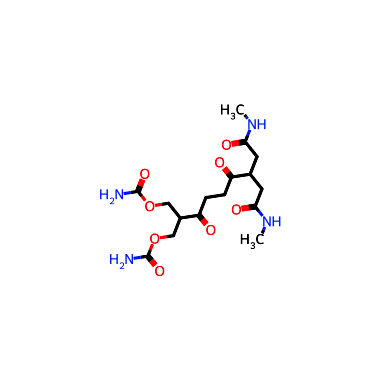 CNC(=O)CC(CC(=O)NC)C(=O)CCC(=O)C(COC(N)=O)COC(N)=O